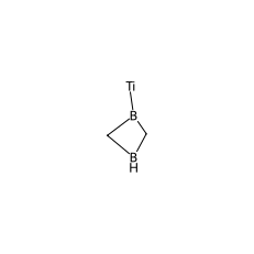 [Ti][B]1CBC1